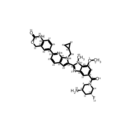 COc1cc(C(=O)N2C[C@H](N)C[C@@H](F)C2)cc2nc(-c3cc4ccc(-c5ccc6c(c5)COC(=O)N6)nc4n3CC3CC3)n(C)c12